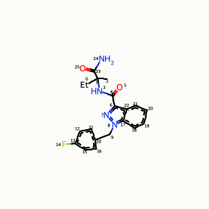 CCC(C)(NC(=O)c1nn(Cc2ccc(F)cc2)c2ccccc12)C(N)=O